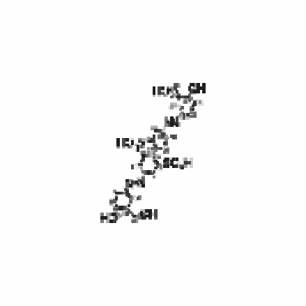 O=S(=O)(O)c1cc(N=Nc2ccc(O)c(CO)c2)ccc1-c1ccc(N=Nc2ccc(O)c(CO)c2)cc1S(=O)(=O)O